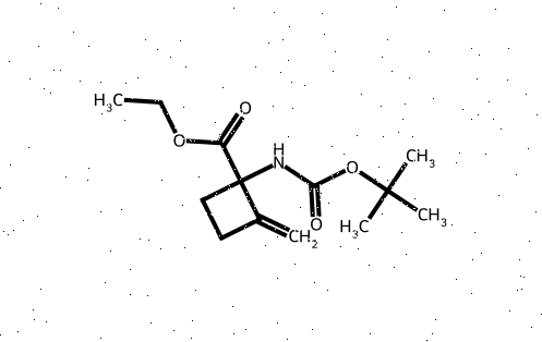 C=C1CCC1(NC(=O)OC(C)(C)C)C(=O)OCC